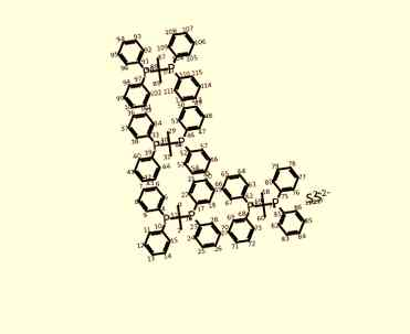 CC(C)(P(c1ccccc1)c1ccccc1)P(c1ccccc1)c1ccccc1.CC(C)(P(c1ccccc1)c1ccccc1)P(c1ccccc1)c1ccccc1.CC(C)(P(c1ccccc1)c1ccccc1)P(c1ccccc1)c1ccccc1.CC(C)(P(c1ccccc1)c1ccccc1)P(c1ccccc1)c1ccccc1.[S-2].[S-2]